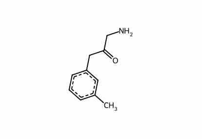 Cc1cccc(CC(=O)CN)c1